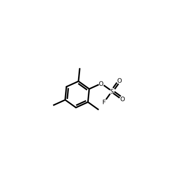 Cc1cc(C)c(OS(=O)(=O)F)c(C)c1